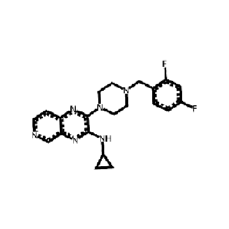 Fc1ccc(CN2CCN(c3nc4ccncc4nc3NC3CC3)CC2)c(F)c1